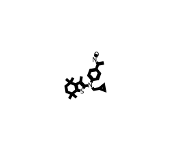 C=C(N=O)c1ccc(N(CC2CC2)c2sc3c(c2C)C(C)(C)CCC3(C)C)cc1